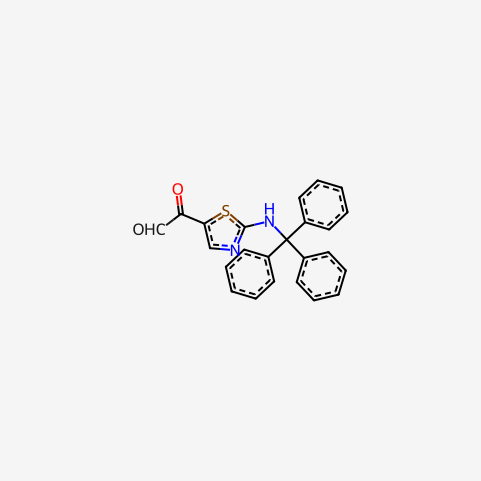 O=CC(=O)c1cnc(NC(c2ccccc2)(c2ccccc2)c2ccccc2)s1